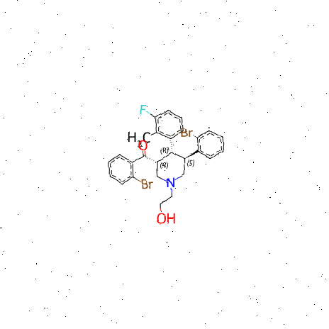 Cc1c(F)cccc1[C@H]1[C@@H](C(=O)c2ccccc2Br)CN(CCO)C[C@@H]1c1ccc[c]c1Br